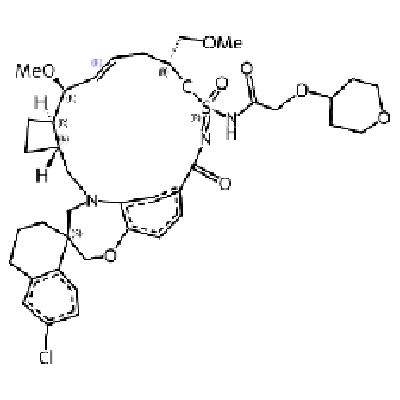 COC[C@H]1C/C=C/[C@H](OC)[C@@H]2CC[C@H]2CN2C[C@@]3(CCCc4cc(Cl)ccc43)COc3ccc(cc32)C(=O)N=[S@](=O)(NC(=O)COC2CCOCC2)C1